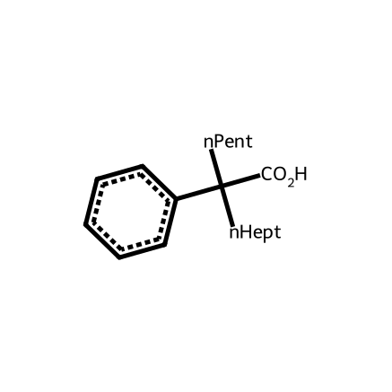 CCCCCCCC(CCCCC)(C(=O)O)c1ccccc1